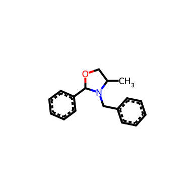 CC1COC(c2ccccc2)N1Cc1ccccc1